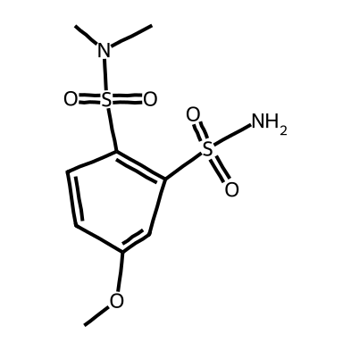 COc1ccc(S(=O)(=O)N(C)C)c(S(N)(=O)=O)c1